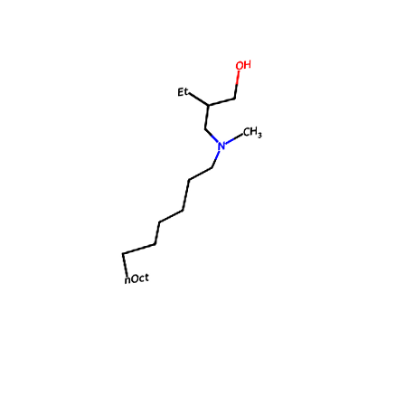 CCCCCCCCCCCCCCN(C)CC(CC)CO